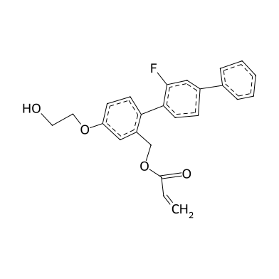 C=CC(=O)OCc1cc(OCCO)ccc1-c1ccc(-c2ccccc2)cc1F